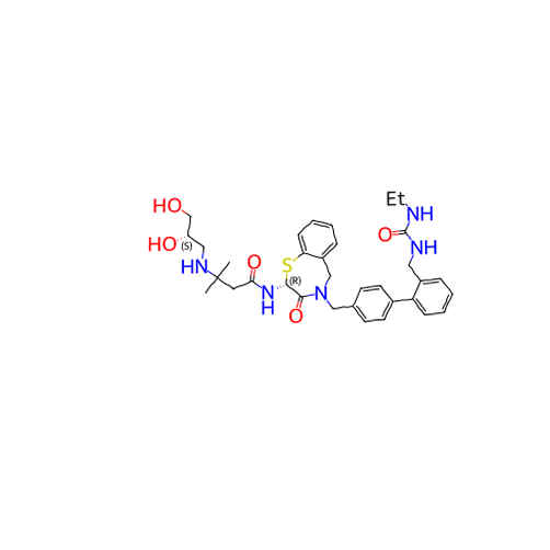 CCNC(=O)NCc1ccccc1-c1ccc(CN2Cc3ccccc3S[C@@H](NC(=O)CC(C)(C)NC[C@H](O)CO)C2=O)cc1